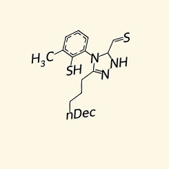 CCCCCCCCCCCCCC1=NNC(C=S)N1c1cccc(C)c1S